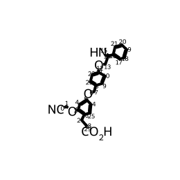 N#CCOc1cc(OCc2ccc(OCC(=N)c3ccccc3)cc2)ccc1CCC(=O)O